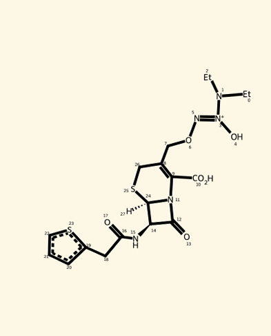 CCN(CC)/[N+](O)=N/OCC1=C(C(=O)O)N2C(=O)[C@@H](NC(=O)Cc3cccs3)[C@H]2SC1